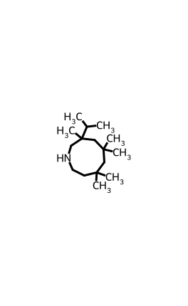 CC(C)C1(C)CNCCC(C)(C)CC(C)(C)C1